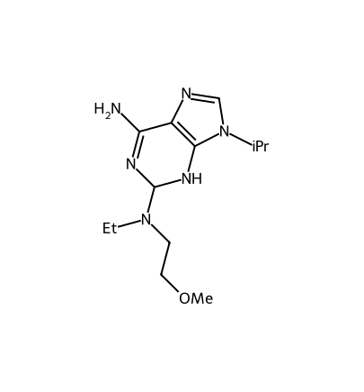 CCN(CCOC)C1N=C(N)c2ncn(C(C)C)c2N1